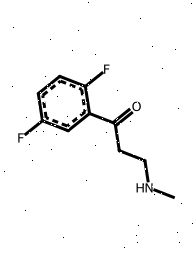 CNCCC(=O)c1cc(F)ccc1F